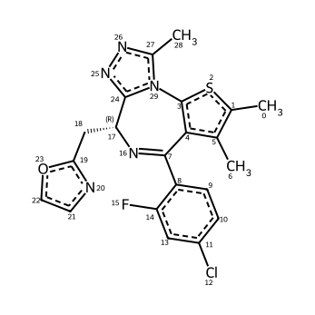 Cc1sc2c(c1C)C(c1ccc(Cl)cc1F)=N[C@H](Cc1ncco1)c1nnc(C)n1-2